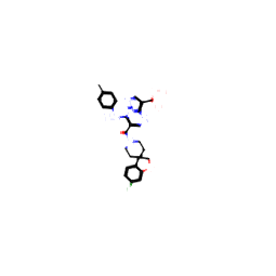 Cc1ccc(Nc2c(C(=O)N3CCC4(CC3)COc3cc(F)ccc34)cnc3c(C(=O)O)cnn23)cc1